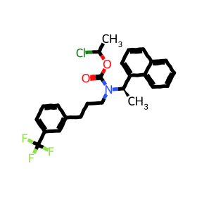 CC(Cl)OC(=O)N(CCCc1cccc(C(F)(F)F)c1)[C@H](C)c1cccc2ccccc12